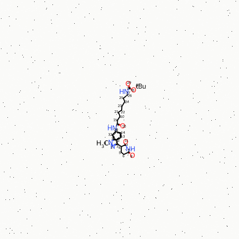 Cn1nc(C2CCC(=O)NC2=O)c2ccc(NC(=O)CCCCCCCCNC(=O)OC(C)(C)C)cc21